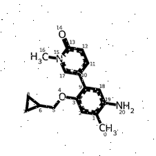 Cc1cc(OCC2CC2)c(-c2ccc(=O)n(C)c2)cc1N